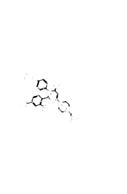 CC(C)CN1CCN(c2cc(=O)n(-c3ccc(C(F)(F)F)cc3)c(-c3ccc(Cl)cc3F)n2)CC1